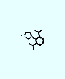 CC(C)c1cccc(C(C)C)c1N1[C]NCC1